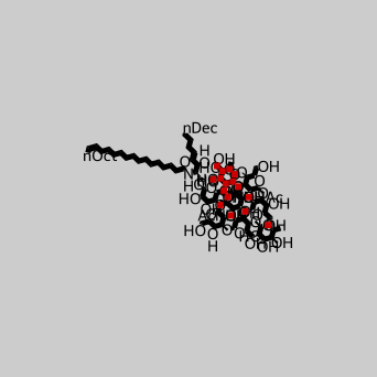 CCCCCCCC/C=C\CCCCCCCCCCCCCC(=O)N[C@@H](CO[C@@H]1OC(CO)[C@@H](O[C@@H]2OC(CO)[C@H](O)[C@H](O[C@@H]3OC(CO)[C@@H](O[C@H]4OC(C)[C@@H](O)C(O)[C@@H]4O)[C@H](O[C@@H]4OC(CO)[C@H](O)[C@H](O[C@@H]5OC(CO)[C@@H](O[C@@H]6OC(CO)[C@H](O)[C@H](O)C6O[C@H]6OC(C)[C@@H](O)C(O)[C@@H]6O)[C@H](O[C@H]6OC(C)[C@@H](O)C(O)[C@@H]6O)C5NC(C)=O)C4O)C3NC(C)=O)C2O)[C@H](O)C1O)[C@H](O)/C=C/CCCCCCCCCCCCC